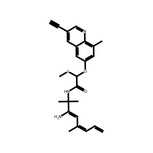 C#Cc1cnc2c(C)cc(OC(SC)C(=O)NC(C)(C)/C(N)=C/C(C)=C\C=C)cc2c1